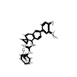 COc1cc(-c2ccc3c(c2)CCC2(CC2)C3NC(=O)O[C@H]2CN3CCC2CC3)ccc1Cl